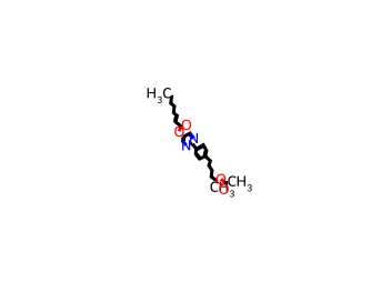 CCCCCC=CC(=O)Oc1cnc(-c2ccc(CCCCC(C)OC(C)=O)cc2)nc1